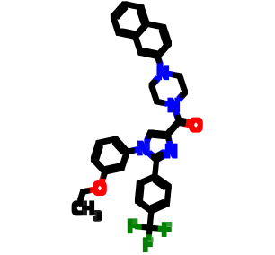 CCOc1cccc(-n2cc(C(=O)N3CCN(c4ccc5ccccc5c4)CC3)nc2-c2ccc(C(F)(F)F)cc2)c1